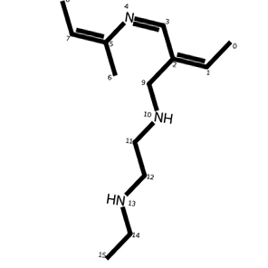 C\C=C(/C=N\C(C)=C/C)CNCCNCC